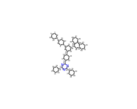 c1ccc(-c2ccc(-c3cc(-c4ccc(-c5nc(-c6ccccc6)nc(-c6ccccc6)n5)cc4)cc(-c4cc5ccccc5c5ccccc45)c3)cc2)cc1